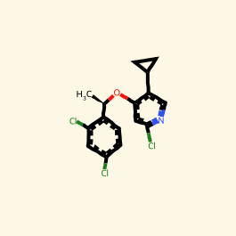 C[C@@H](Oc1cc(Cl)ncc1C1CC1)c1ccc(Cl)cc1Cl